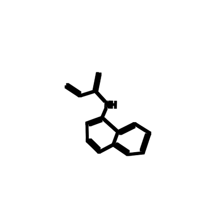 C=CC(=C)Nc1cccc2ccccc12